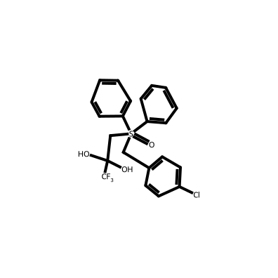 O=S(Cc1ccc(Cl)cc1)(CC(O)(O)C(F)(F)F)(c1ccccc1)c1ccccc1